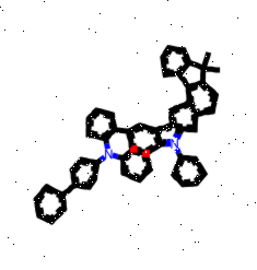 CC1(C)c2ccccc2-c2c1ccc1cc3c(cc21)c1cc(-c2ccccc2N(c2ccccc2)c2ccc(-c4ccccc4)cc2)ccc1n3-c1ccccc1